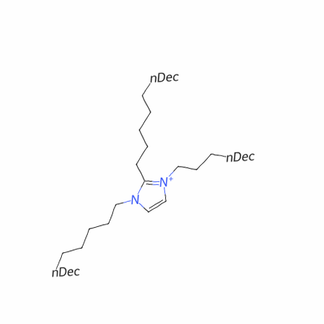 CCCCCCCCCCCCCCCc1n(CCCCCCCCCCCCCCC)cc[n+]1CCCCCCCCCCCCC